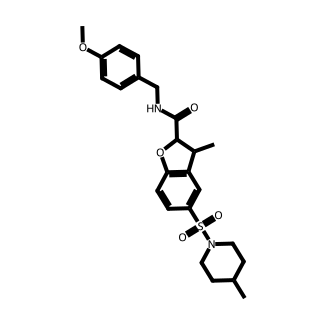 COc1ccc(CNC(=O)C2Oc3ccc(S(=O)(=O)N4CCC(C)CC4)cc3C2C)cc1